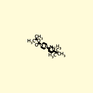 CC(C)OC(=O)N1CCN(c2ccc(C(C)(C)C)nn2)CC1